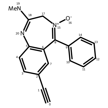 C#Cc1ccc2c(c1)C(c1ccccc1)=[N+]([O-])CC(NC)=N2